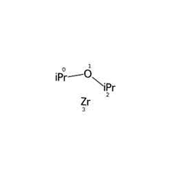 CC(C)OC(C)C.[Zr]